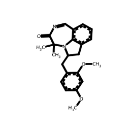 COc1ccc(CC2Cc3cccc4c3N2C(C)(C)C(=O)N=C4)c(OC)c1